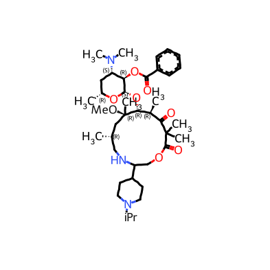 CO[C@]1(C)C[C@@H](C)CNC(C2CCN(C(C)C)CC2)COC(=O)C(C)(C)C(=O)[C@H](C)[C@H]1O[C@@H]1O[C@H](C)C[C@H](N(C)C)[C@H]1OC(=O)c1ccccc1